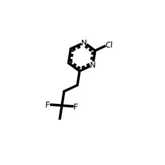 CC(F)(F)CCc1ccnc(Cl)n1